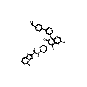 Cc1cccc2nc(C(=O)N[C@H]3CC[C@@H](n4c(=O)c5cc(F)cnc5n(-c5cccc(-c6ccc(C=O)cc6)c5)c4=O)CC3)cn12